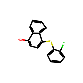 Oc1ccc(Sc2ccccc2Cl)c2ccccc12